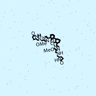 COc1nc(-c2cccc(-c3cccc(-c4cnc(CNCC5CCC(=O)N5)c(OC)n4)c3Cl)c2Cl)cnc1CNCC1CCC(=O)N1